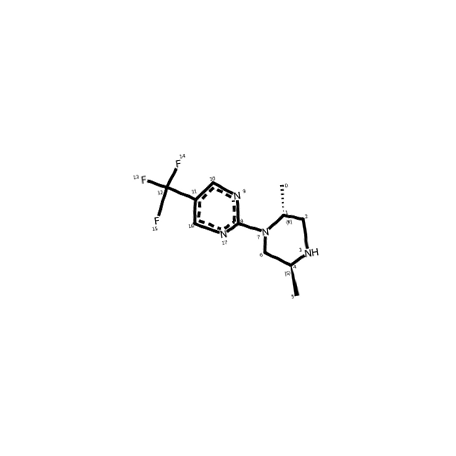 C[C@@H]1CN[C@@H](C)CN1c1ncc(C(F)(F)F)cn1